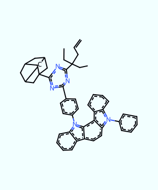 C=CCC(CC)(CC)c1nc(-c2ccc(-n3c4ccccc4c4ccc5c(c6ccccc6n5-c5ccccc5)c43)cc2)nc(C23CC4CC(CC(C4)C2)C3)n1